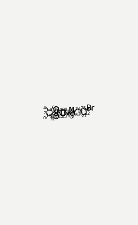 Cc1cc(C)c(C)c(S(=O)(=O)N2CCN(c3nc(Cc4cccc(Br)c4)cs3)CC2)c1C